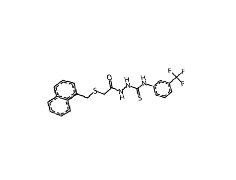 O=C(CSCc1cccc2ccccc12)NNC(=S)Nc1cccc(C(F)(F)F)c1